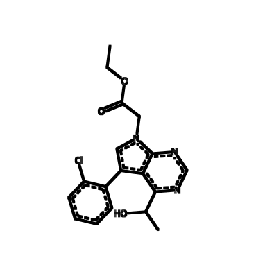 CCOC(=O)Cn1cc(-c2ccccc2Cl)c2c(C(C)O)ncnc21